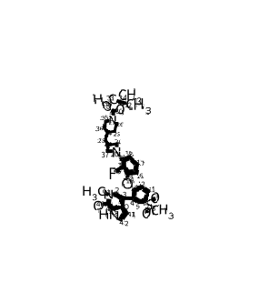 Cn1cc(-c2cc(S(C)(=O)=O)ccc2Oc2cccc(N3CC(CC4CCN(C(=O)OC(C)(C)C)CC4)C3)c2F)c2cc[nH]c2c1=O